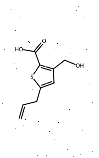 C=CCc1cc(CO)c(C(=O)O)s1